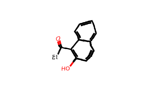 CCC(=O)c1c(O)ccc2ccccc12